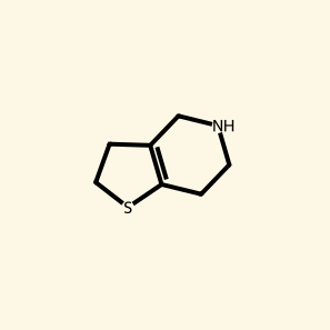 C1CC2=C(CCS2)CN1